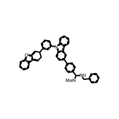 CNC(NCc1ccccc1)c1ccc(-c2ccc3c(c2)c2ccccc2n3-c2cccc(C3C=c4oc5ccccc5c4=CC3)c2)cc1